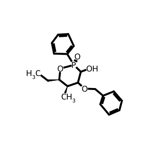 CC[C@H]1OP(=O)(c2ccccc2)C(O)C(OCc2ccccc2)[C@H]1C